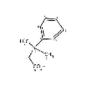 CS(C)(CC(=O)O)c1ccccc1